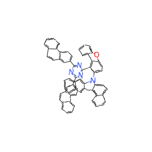 c1ccc2cc3c(cc2c1)c1c2ccccc2ccc1n3-c1ccc2oc3ccccc3c2c1-c1nc(-c2ccc3c(ccc4ccccc43)c2)nc(-c2ccc3c(ccc4ccccc43)c2)n1